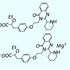 CCOC(Cc1ccc(OCCn2c(C3CCCCN3)nc3ccccc3c2=O)cc1)C(=O)[O-].CCOC(Cc1ccc(OCCn2c(C3CCCCN3)nc3ccccc3c2=O)cc1)C(=O)[O-].[Mg+2]